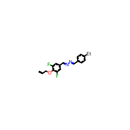 C=CCOc1c(F)cc(C=NN=Cc2ccc(CC)cc2)cc1F